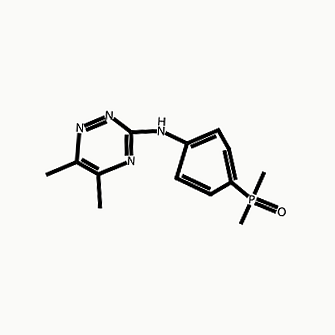 Cc1nnc(Nc2ccc(P(C)(C)=O)cc2)nc1C